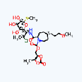 COCCC[C@H]1CCC(C(=O)N[C@@H]([C@H]2O[C@H](SC)[C@H](O)[C@@H](O)[C@H]2O)[C@H](C)Cl)N(C(=O)OCc2oc(=O)oc2C)CC1